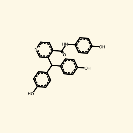 O=C(Nc1ccc(O)cc1)c1ccncc1C(c1ccc(O)cc1)c1ccc(O)cc1